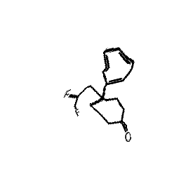 O=C1CCC(CC(F)F)(c2ccccc2)CC1